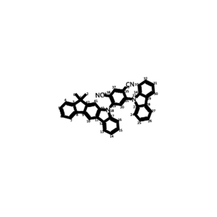 CC1(C)c2ccccc2-c2cc3c4ccccc4n(-c4cc(-n5c6ccccc6c6ccccc65)c(C#N)cc4C#N)c3cc21